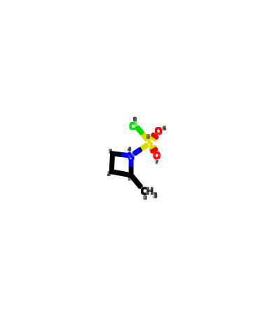 CC1CCN1S(=O)(=O)Cl